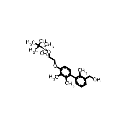 Cc1c(CO)cccc1-c1ccc(OCCO[Si](C)(C)C(C)(C)C)c(C)c1C